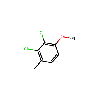 CCOc1ccc(C)c(Cl)c1Cl